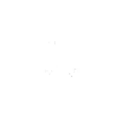 C=C(CCN(CC)CC)c1ccc(C)cc1